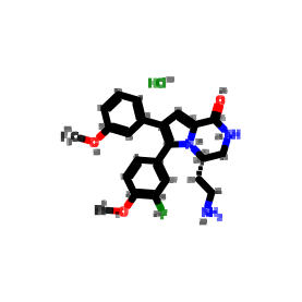 CCOc1ccc(-c2c(-c3cccc(OC(F)(F)F)c3)cc3n2[C@@H](CCN)CNC3=O)cc1F.Cl